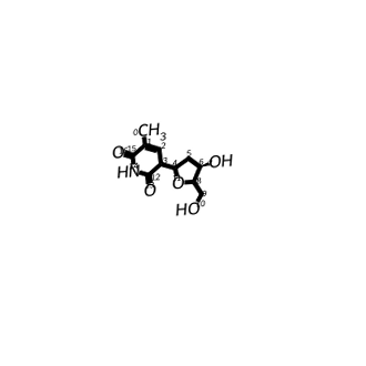 CC1=CC(C2C[C@@H](O)C(CO)O2)C(=O)NC1=O